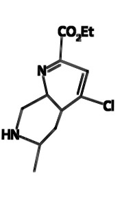 CCOC(=O)C1=NC2CNC(C)CC2C(Cl)=C1